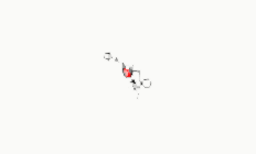 CCCCN(C(=O)O[C@H]1C[N+]2(CCCn3cccc3)CCC1CC2)c1ccccc1